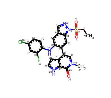 CCS(=O)(=O)n1ncc2cc(Nc3ccc(Cl)cc3F)c(-c3cn(C)c(=O)c4[nH]ccc34)cc21